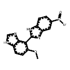 COc1ccc2[nH][c]nc2c1-c1nc2cc([N+](=O)[O-])ccc2[nH]1